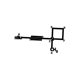 CCCCC#C[Si]1(C)CCC1